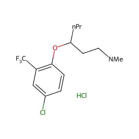 CCCC(CCNC)Oc1ccc(Cl)cc1C(F)(F)F.Cl